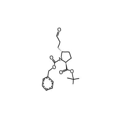 CC(C)(C)OC(=O)[C@@H]1CC[C@@H](CCC=O)N1C(=O)OCc1ccccc1